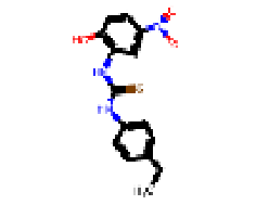 CCc1ccc(NC(=S)Nc2cc([N+](=O)[O-])ccc2O)cc1